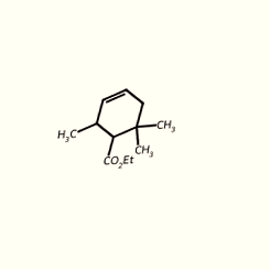 CCOC(=O)C1C(C)C=CCC1(C)C